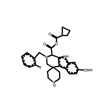 COc1ccc2c3c([nH]c2c1)C(C(=O)OC(=O)C1CCC1)N(Cc1ccccc1F)CC31CCNCC1